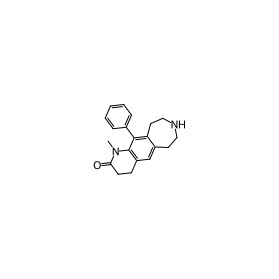 CN1C(=O)CCc2cc3c(c(-c4ccccc4)c21)CCNCC3